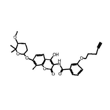 C#CCCCOc1cccc(C(=O)Nc2c(O)c3ccc(OC4CCC(OC)C(C)(C)O4)c(C)c3oc2=O)c1